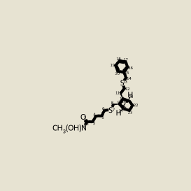 CN(O)C(=O)CCCCSC[C@H]1[C@@H](CCSCc2ccccc2)[C@H]2CC[C@@H]1O2